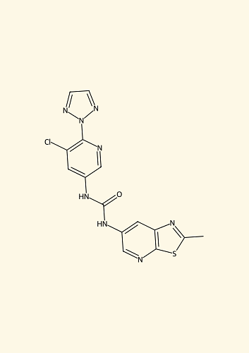 Cc1nc2cc(NC(=O)Nc3cnc(-n4nccn4)c(Cl)c3)cnc2s1